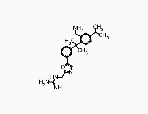 CC(C)c1ccc(C(C)(C)c2cccc(-c3cnc(CNC(=N)N)o3)c2)c(CN)c1